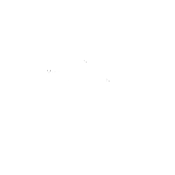 COc1ccc(C2CCOCC2)c2ncc(C)nc12